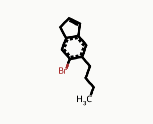 CCCCc1cc2c(cc1Br)CC=C2